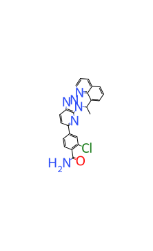 CC(c1cccc2cccnc12)n1nnc2ccc(-c3ccc(C(N)=O)c(Cl)c3)nc21